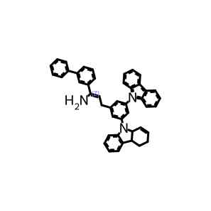 N/C(=C\Cc1cc(N2c3ccccc3C3CCC=CC32)cc(-n2c3ccccc3c3ccccc32)c1)c1cccc(-c2ccccc2)c1